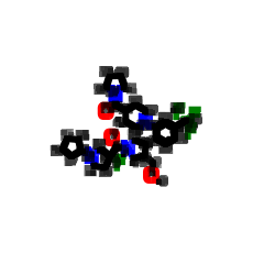 COC[C@H]1CN(C(=O)[C@@]2(F)CCN(C3CCCC3)C2)C[C@@H]1c1ccc(C(F)(F)F)cc1N1CCC(C(=O)N2CCCC2)CC1